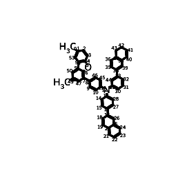 Cc1ccc2oc3c(-c4ccc(N(c5ccc(-c6ccc7ccccc7c6)cc5)c5cccc(-c6ccc7c(c6)C=CCC7)c5)cc4)cc(C)cc3c2c1